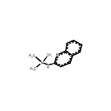 C[Si](C)(C)Nc1ccc2ccccc2n1